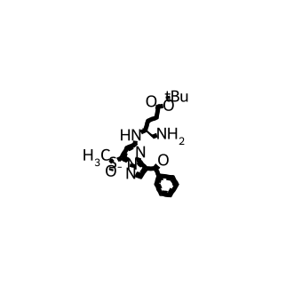 C[S+]([O-])c1cc(N[C@H](CN)CCC(=O)OC(C)(C)C)nc2c(C(=O)c3ccccc3)cnn12